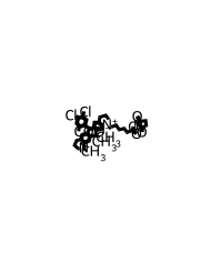 CN1CCCc2cc3c(cc21)C(C)(C)c1cc2c(cc1=C3c1cc(Cl)c(Cl)cc1C(=O)[O-])CCC[N+]=2CCCCCC(=O)ON1C(=O)CCC1=O